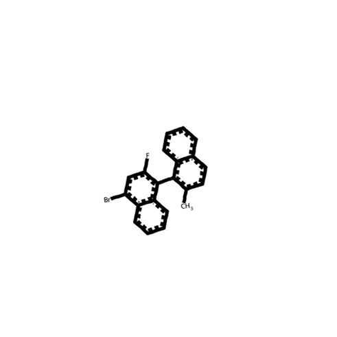 Cc1ccc2ccccc2c1-c1c(F)cc(Br)c2ccccc12